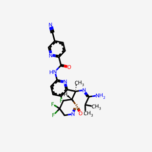 CC1(C)C(N)=N[C@](C)(c2nc(NC(=O)c3ccc(C#N)cn3)ccc2F)[C@H]2CC(F)(F)CN=[S@@]21=O